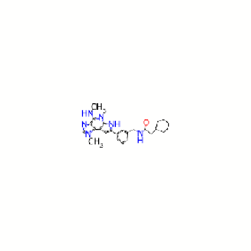 CNc1nc2[nH]c(-c3cccc(CNC(=O)CC4CCCCC4)c3)cc2c2c1ncn2C